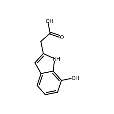 O=C(O)Cc1cc2cccc(O)c2[nH]1